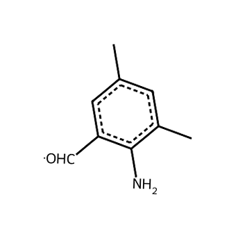 Cc1cc(C)c(N)c([C]=O)c1